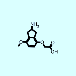 COc1ccc(OCC(=O)O)c2c1CC(N)C2